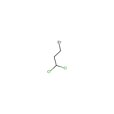 C[CH]CCC(Cl)Cl